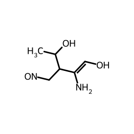 CC(O)C(CN=O)/C(N)=C/O